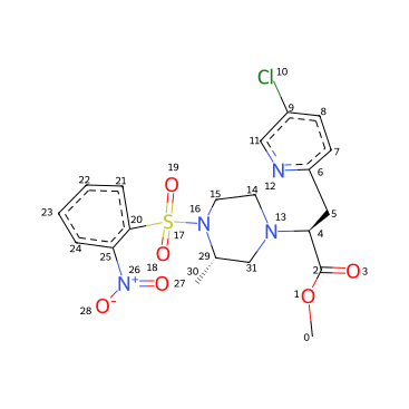 COC(=O)[C@H](Cc1ccc(Cl)cn1)N1CCN(S(=O)(=O)c2ccccc2[N+](=O)[O-])[C@@H](C)C1